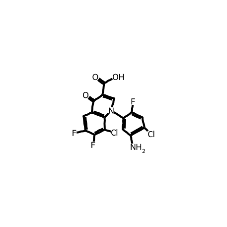 Nc1cc(-n2cc(C(=O)O)c(=O)c3cc(F)c(F)c(Cl)c32)c(F)cc1Cl